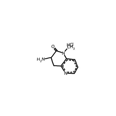 CN1C(=O)C(N)Cc2ncccc21.Cl